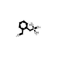 O=Cc1ccccc1CP(=O)(O)O